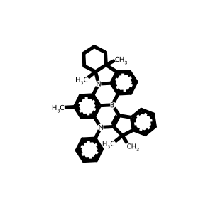 Cc1cc2c3c(c1)N1c4c(cccc4C4(C)CCCCC14C)B3C1=C(N2c2ccccc2)C(C)(C)c2ccccc21